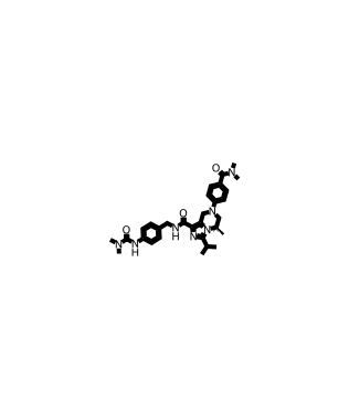 CC(C)c1nc(C(=O)NCc2ccc(NC(=O)N(C)C)cc2)c2n1[C@H](C)CN(c1ccc(C(=O)N(C)C)cc1)C2